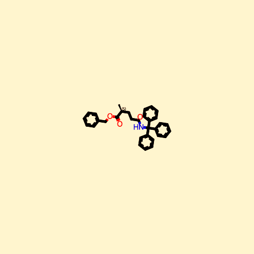 C[C@@H](CCC(=O)NC(c1ccccc1)(c1ccccc1)c1ccccc1)C(=O)OCc1ccccc1